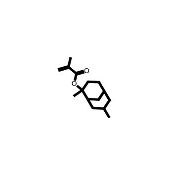 C=C(C)C(=O)OC1(C)CCC2CC(C)CC1C2